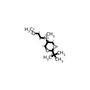 COCCN(C)C1COC(C(C)(C)C)OC1